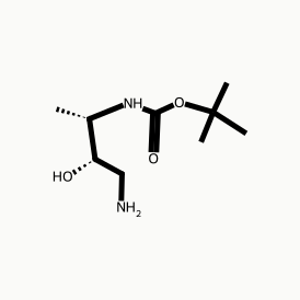 C[C@H](NC(=O)OC(C)(C)C)[C@@H](O)CN